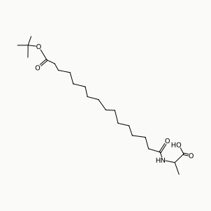 CC(NC(=O)CCCCCCCCCCCCCCC(=O)OC(C)(C)C)C(=O)O